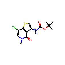 Cn1cc(Cl)c2scc(NC(=O)OC(C)(C)C)c2c1=O